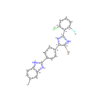 Cc1ccc2[nH]c(-c3ccc(-c4nc(-c5c(F)cccc5Cl)[nH]c4Br)cc3)nc2c1